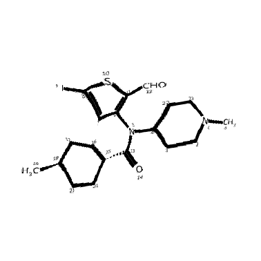 CN1CCC(N(c2cc(I)sc2C=O)C(=O)[C@H]2CC[C@H](C)CC2)CC1